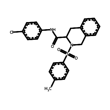 Cc1ccc(S(=O)(=O)N2Cc3ccccc3CC2C(=O)Nc2ccc(Cl)cc2)cc1